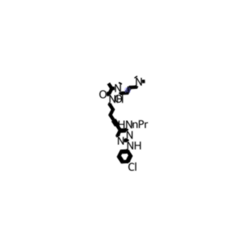 CCCNc1nc(Nc2cccc(Cl)c2)ncc1C#CCCCNC(=O)C(C)N(C)C(=O)/C=C/CN(C)C